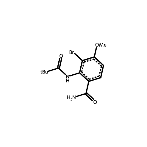 COc1ccc(C(N)=O)c(NC(=O)C(C)(C)C)c1Br